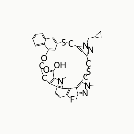 Cc1nn(C)c2c1-c1c(F)ccc3c(c(C(=O)O)n(C)c13)CCCOc1cc(cc3ccccc13)SCc1cc(nn1CC1CC1)CSC2